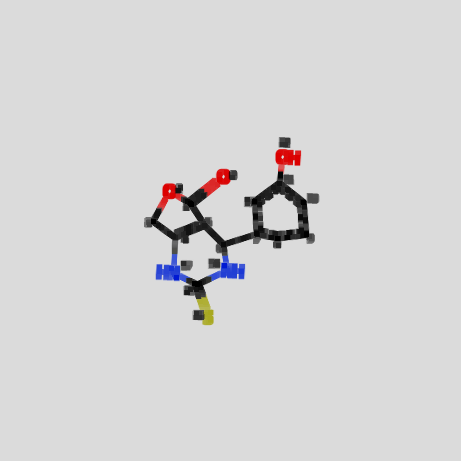 O=C1OCC2=C1C(c1cccc(O)c1)NC(=S)N2